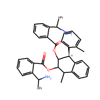 CCCC(N)c1ccccc1C(=O)OC1C(C)c2ccccc2[C@H](c2ccccc2C)C1OC(=O)c1ccccc1C(N)CCC